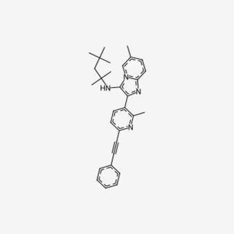 Cc1ccc2nc(-c3ccc(C#Cc4ccccc4)nc3C)c(NC(C)(C)CC(C)(C)C)n2c1